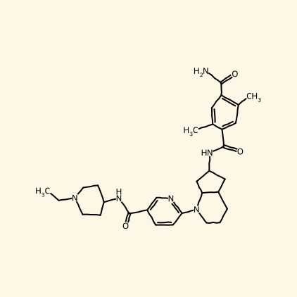 CCN1CCC(NC(=O)c2ccc(N3CCCC4CC(NC(=O)c5cc(C)c(C(N)=O)cc5C)CC43)nc2)CC1